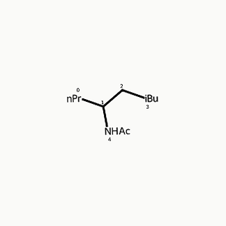 CCCC(CC(C)CC)NC(C)=O